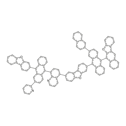 c1ccc(-c2ccc3c(-c4ccc(-c5ccc6oc7cc(-c8c9ccccc9c(-c9c%10ccccc%10cc%10c9oc9ccccc9%10)c9ccc(-c%10ccc%11ccccc%11c%10)cc89)ccc7c6c5)c5cccnc45)c4ccccc4c(-c4ccc5c(c4)oc4ccccc45)c3c2)nc1